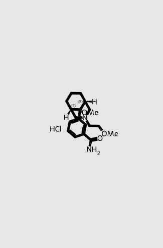 COCCN1C[C@H]2CCC[C@@H](C1)[C@@]2(OC)c1cccc(C(N)=O)c1.Cl